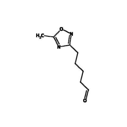 Cc1nc(CCCCC=O)no1